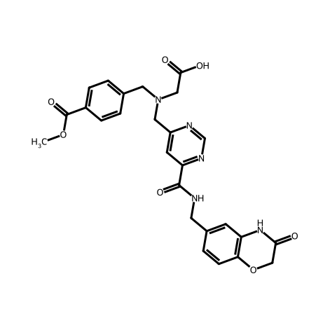 COC(=O)c1ccc(CN(CC(=O)O)Cc2cc(C(=O)NCc3ccc4c(c3)NC(=O)CO4)ncn2)cc1